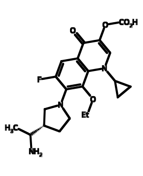 CCOc1c(N2CC[C@H](C(C)N)C2)c(F)cc2c(=O)c(OC(=O)O)cn(C3CC3)c12